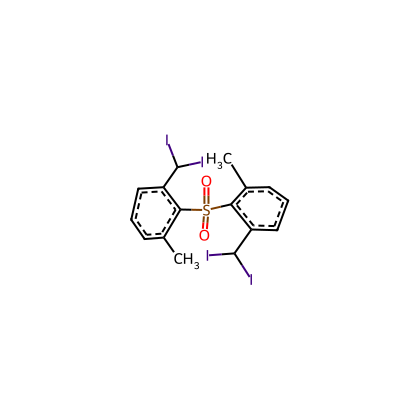 Cc1cccc(C(I)I)c1S(=O)(=O)c1c(C)cccc1C(I)I